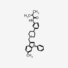 Cc1ccc2c(CN3CCC(c4cccc(NC(=O)C(C)C)c4)CC3)cn(-c3ccccc3)c2c1